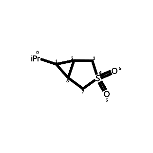 CC(C)C1C2CS(=O)(=O)CC21